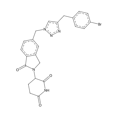 O=C1CCC(N2Cc3cc(Cn4cc(Cc5ccc(Br)cc5)nn4)ccc3C2=O)C(=O)N1